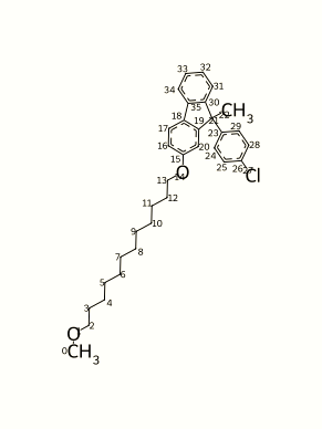 COCCCCCCCCCCCCOc1ccc2c(c1)C(C)(c1ccc(Cl)cc1)c1ccccc1-2